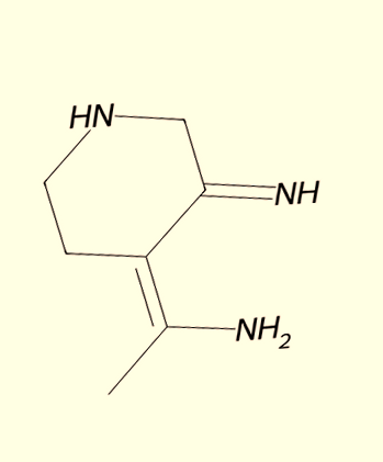 C/C(N)=C1\CCNCC1=N